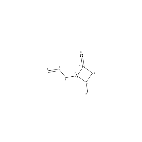 C=CCN1C(=O)CC1C